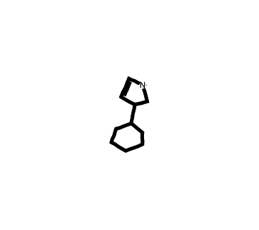 C1=CC(C2CCCCC2)C[N]1